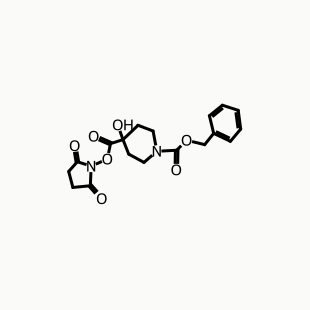 O=C(OCc1ccccc1)N1CCC(O)(C(=O)ON2C(=O)CCC2=O)CC1